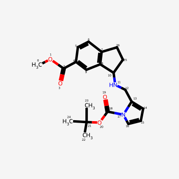 COC(=O)c1ccc2c(c1)C(NCc1cccn1C(=O)OC(C)(C)C)CC2